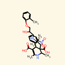 CC1=C(C(=O)O)C(c2ccccc2[N+](=O)[O-])C(CC(C)(C)NCC(O)COc2ccccc2C)(C(=O)O)C(C)N1